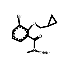 CON(C)C(=O)c1cccc(Br)c1OCC1CC1